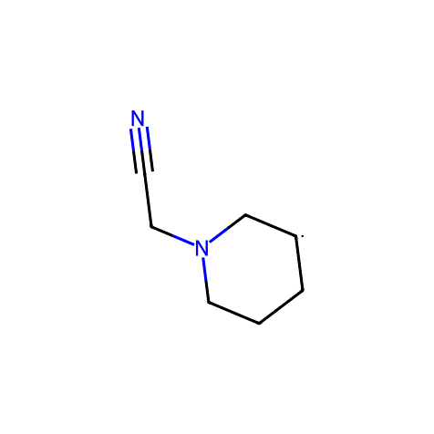 N#CCN1C[CH]CCC1